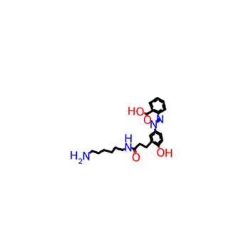 NCCCCCCNC(=O)CCc1cc(N=Nc2ccccc2C(=O)O)ccc1O